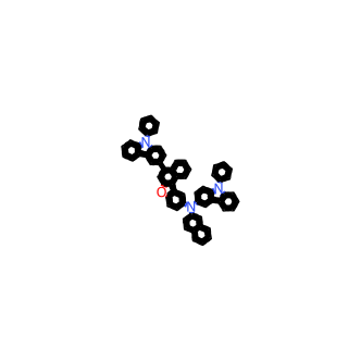 c1ccc(-n2c3ccccc3c3cc(-c4cc5oc6ccc(N(c7ccc8ccccc8c7)c7ccc8c(c7)c7ccccc7n8-c7ccccc7)cc6c5c5ccccc45)ccc32)cc1